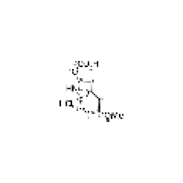 COc1ccc2c(c1)CC(OC(=O)O)N2.Cl